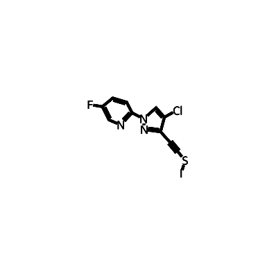 Fc1ccc(-n2cc(Cl)c(C#CSI)n2)nc1